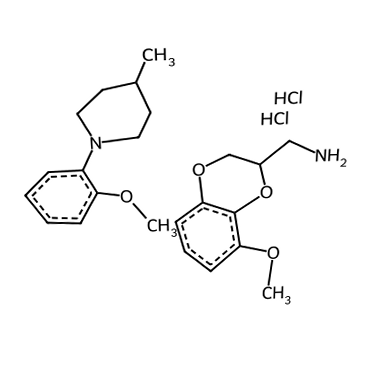 COc1cccc2c1OC(CN)CO2.COc1ccccc1N1CCC(C)CC1.Cl.Cl